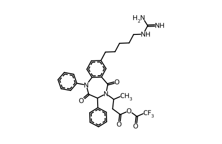 CC(CC(=O)OC(=O)C(F)(F)F)N1C(=O)c2cc(CCCCCNC(=N)N)ccc2N(c2ccccc2)C(=O)C1c1ccccc1